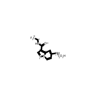 O=C(O)Nc1ccn2ncc(C(=O)NCC(F)(F)F)c2c1